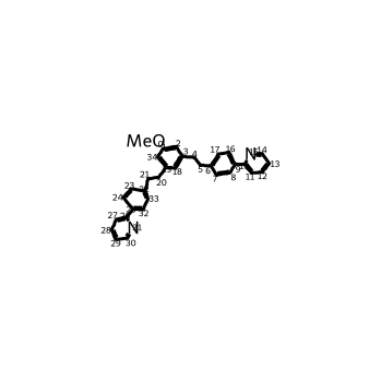 COc1cc(CCc2ccc(-c3ccccn3)cc2)cc(CCc2ccc(-c3ccccn3)cc2)c1